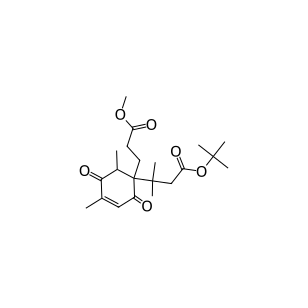 COC(=O)CCC1(C(C)(C)CC(=O)OC(C)(C)C)C(=O)C=C(C)C(=O)C1C